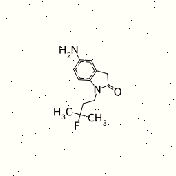 CC(C)(F)CCN1C(=O)Cc2cc(N)ccc21